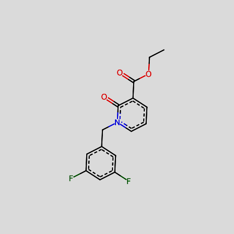 CCOC(=O)c1cccn(Cc2cc(F)cc(F)c2)c1=O